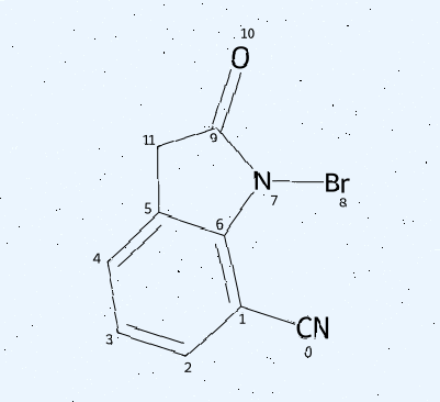 N#Cc1cccc2c1N(Br)C(=O)C2